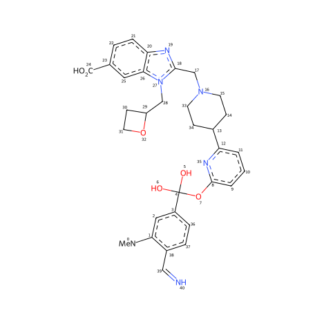 CNc1cc(C(O)(O)Oc2cccc(C3CCN(Cc4nc5ccc(C(=O)O)cc5n4CC4CCO4)CC3)n2)ccc1C=N